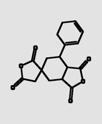 O=C1CC2(CC3C(=O)OC(=O)C3C(C3=CC=CCC3)C2)C(=O)O1